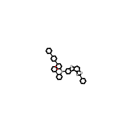 c1ccc(-c2ccc(-c3ccc(N(c4ccc5c(c4)oc4ccc6oc(-c7ccccc7)nc6c45)c4ccccc4-c4ccccc4)cc3)cc2)cc1